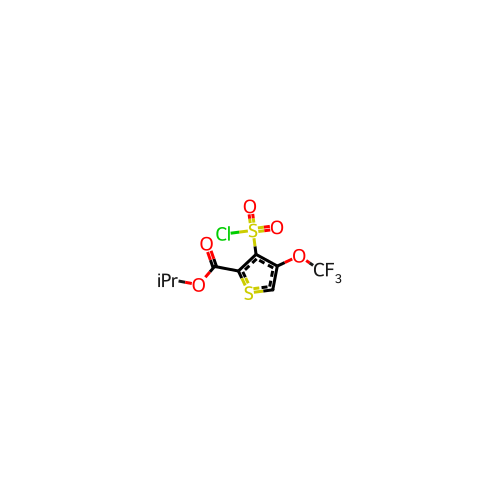 CC(C)OC(=O)c1scc(OC(F)(F)F)c1S(=O)(=O)Cl